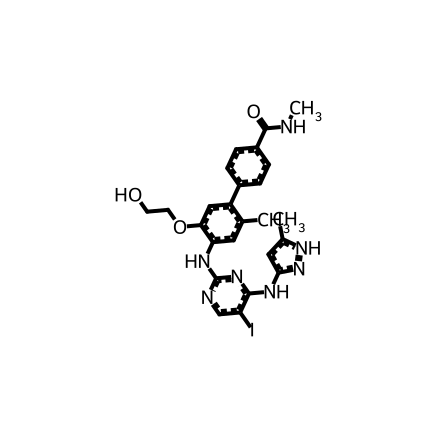 CNC(=O)c1ccc(-c2cc(OCCO)c(Nc3ncc(I)c(Nc4cc(C)[nH]n4)n3)cc2C)cc1